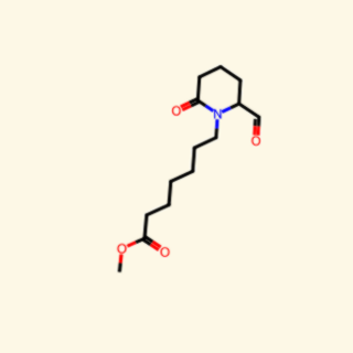 COC(=O)CCCCCCN1C(=O)CCCC1C=O